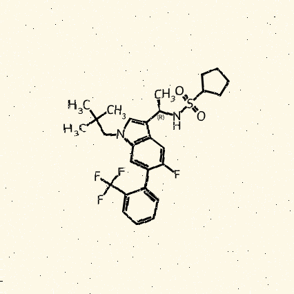 C[C@@H](NS(=O)(=O)C1CCCC1)c1cn(CC(C)(C)C)c2cc(-c3ccccc3C(F)(F)F)c(F)cc12